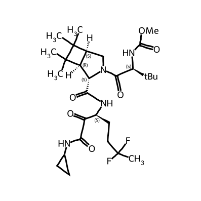 COC(=O)N[C@H](C(=O)N1C[C@H]2[C@@H]([C@H]1C(=O)N[C@@H](CCC(C)(F)F)C(=O)C(=O)NC1CC1)C(C)(C)C2(C)C)C(C)(C)C